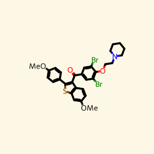 COc1ccc(-c2sc3cc(OC)ccc3c2C(=O)c2cc(Br)c(OCCN3CCCCC3)c(Br)c2)cc1